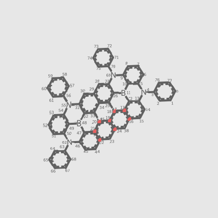 c1ccc(N2c3cccc4c3B3c5c2cccc5N(c2ccccc2)c2c3c(cc3cc5c6c(c23)N(c2ccccc2)c2cccc3c2B6c2c(cccc2N5c2ccccc2)N3c2ccccc2)N4c2ccccc2)cc1